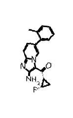 Cc1ccccc1-c1ccc2nc(N)c(C(=O)[C@@H]3C[C@@H]3F)n2c1